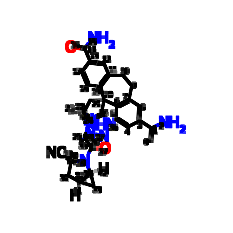 C=C(N)c1ccc2c(c1)CCc1cc(C(N)=O)ccc1C2(C[C@@H](C)NCC(=O)N1[C@H](C#N)C[C@@H]2C[C@@H]21)c1nnn(C)n1